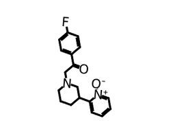 O=C(CN1CCCC(c2cccc[n+]2[O-])C1)c1ccc(F)cc1